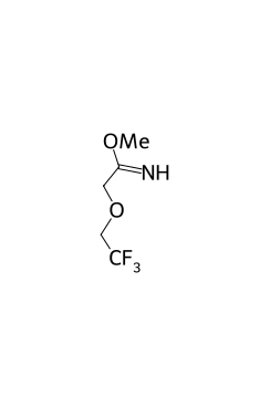 COC(=N)COCC(F)(F)F